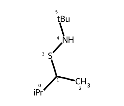 CC(C)C(C)SNC(C)(C)C